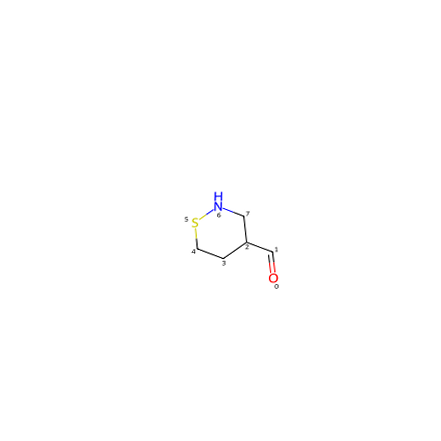 O=CC1CCSNC1